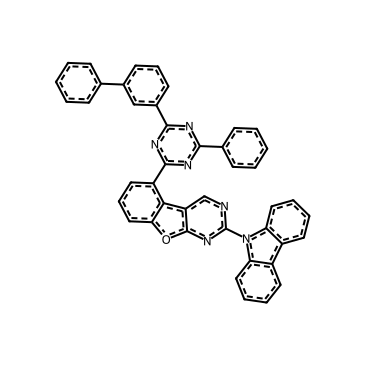 c1ccc(-c2cccc(-c3nc(-c4ccccc4)nc(-c4cccc5oc6nc(-n7c8ccccc8c8ccccc87)ncc6c45)n3)c2)cc1